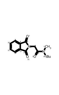 CN(C(=O)CN1C(=O)c2ccccc2C1=O)C(C)(C)C